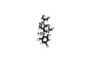 CCC(CC)n1nnc2c(Nc3c(C)cc(C)cc3C)nc(C)nc21